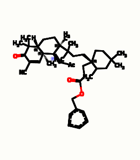 CC(=O)/C=C1/[C@@]2(C)C=C(C#N)C(=O)C(C)(C)[C@@H]2CC[C@@]1(C)C(C)(C)CC[C@@]1(CCC(=O)OCc2ccccc2)CCC(C)(C)CC1C